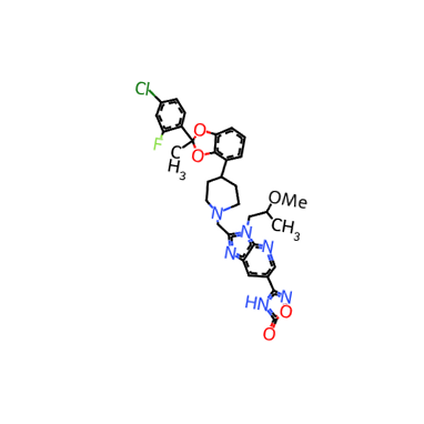 COC(C)Cn1c(CN2CCC(c3cccc4c3OC(C)(c3ccc(Cl)cc3F)O4)CC2)nc2cc(-c3noc(=O)[nH]3)cnc21